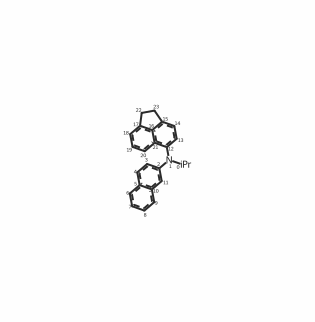 CC(C)N(c1ccc2ccccc2c1)c1ccc2c3c(cccc13)CC2